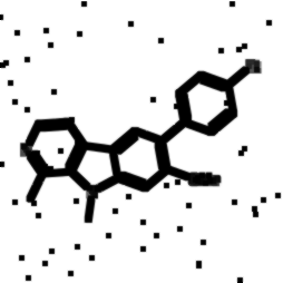 CCc1ccc(-c2cc3c4ccnc(C)c4n(C)c3cc2OC)cc1